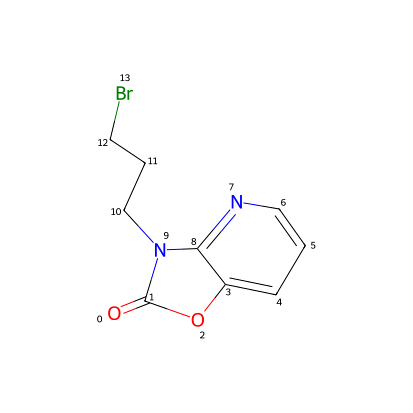 O=c1oc2cccnc2n1CCCBr